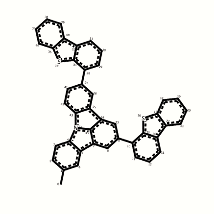 Cc1ccc2c(c1)c1cc(-c3cccc4c3sc3ccccc34)cc3c4cc(-c5cccc6c5sc5ccccc56)ccc4n2c13